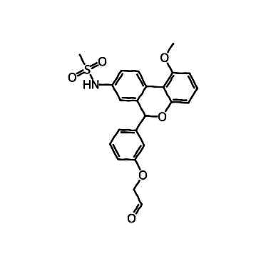 COc1cccc2c1-c1ccc(NS(C)(=O)=O)cc1C(c1cccc(OCC=O)c1)O2